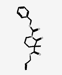 C=CCOC(=O)C1(C)CCCN(C(=O)OCc2ccccc2)C1=O